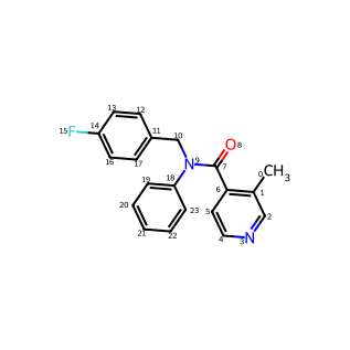 Cc1cnccc1C(=O)N(Cc1ccc(F)cc1)c1ccccc1